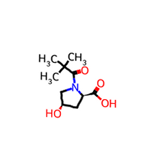 CC(C)(C)C(=O)N1C[C@H](O)C[C@@H]1C(=O)O